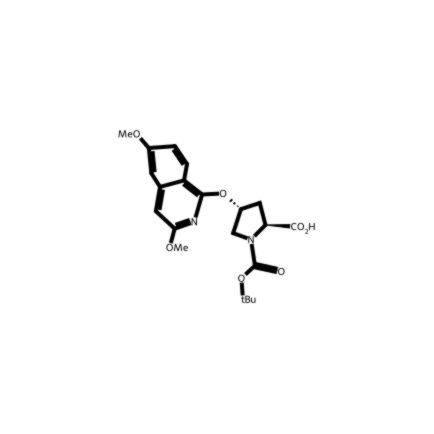 COc1ccc2c(O[C@@H]3C[C@@H](C(=O)O)N(C(=O)OC(C)(C)C)C3)nc(OC)cc2c1